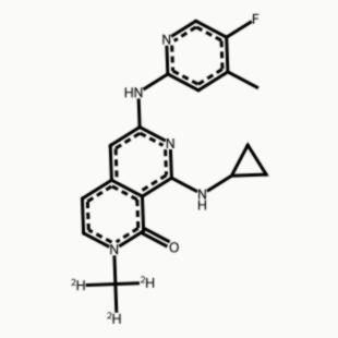 [2H]C([2H])([2H])n1ccc2cc(Nc3cc(C)c(F)cn3)nc(NC3CC3)c2c1=O